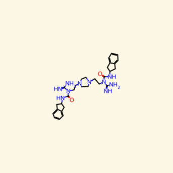 N=C(N)N(CCN1CCN(CCN(C(=N)N)C(=O)NC2Cc3ccccc3C2)CC1)C(=O)NC1Cc2ccccc2C1